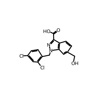 O=C(O)c1nn(Cc2ccc(Cl)cc2Cl)c2cc(CO)ccc12